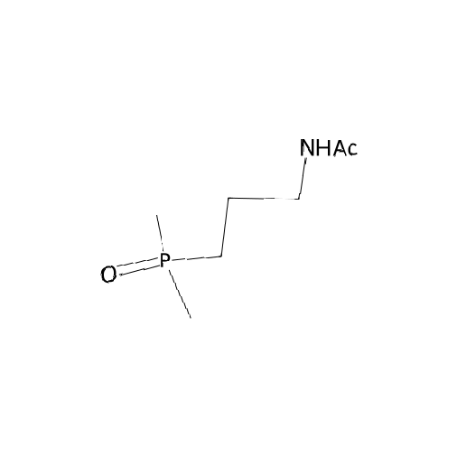 CC(=O)NCCCP(C)(C)=O